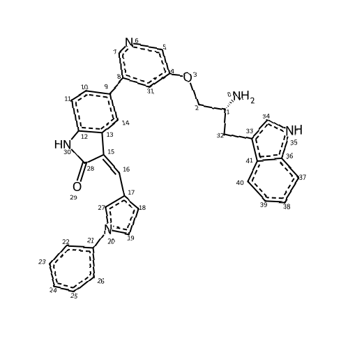 N[C@@H](COc1cncc(-c2ccc3c(c2)C(=Cc2ccn(-c4ccccc4)c2)C(=O)N3)c1)Cc1c[nH]c2ccccc12